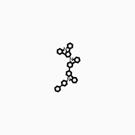 c1ccc(-c2ccc(-n3c4ccccc4c4cc(-c5ccc6c(c5)c5ccccc5n6-c5cc6c7ccccc7n7c8ccccc8c(c5)c67)ccc43)cc2)cc1